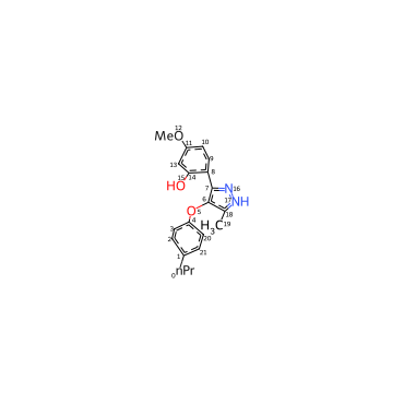 CCCc1ccc(Oc2c(-c3ccc(OC)cc3O)n[nH]c2C)cc1